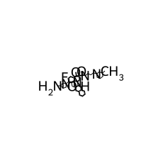 CC1CCCN(CCCNC(=O)c2cn3c4c(c(N5CCC(N)C5)c(F)cc4c2=O)Oc2cc4ccccc4cc2-3)C1